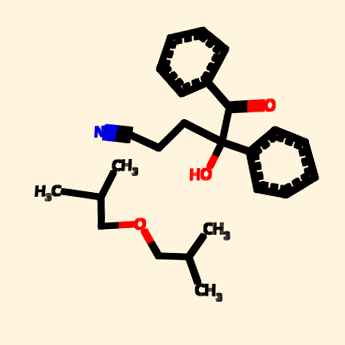 CC(C)COCC(C)C.N#CCCC(O)(C(=O)c1ccccc1)c1ccccc1